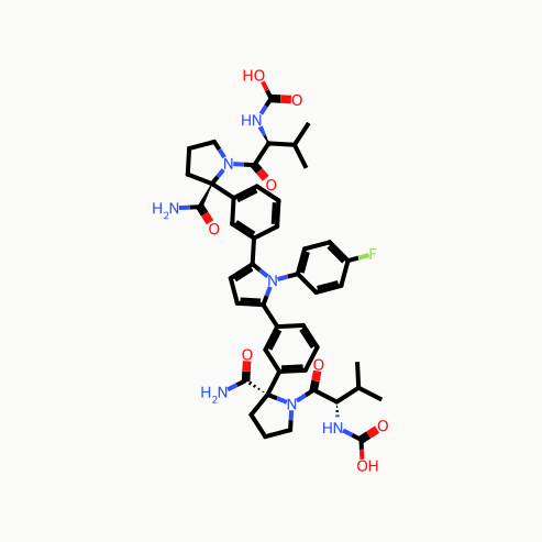 CC(C)[C@H](NC(=O)O)C(=O)N1CCC[C@@]1(C(N)=O)c1cccc(-c2ccc(-c3cccc([C@]4(C(N)=O)CCCN4C(=O)[C@@H](NC(=O)O)C(C)C)c3)n2-c2ccc(F)cc2)c1